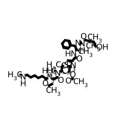 CCC[C@H](NC(=O)CCCCCNC)C(=O)N(C)[C@H](C[C@@H](OC(C)=O)c1nc(C(=O)N[C@H](C)C(=NNC(=O)C(C)(C)CCO)C2=CCCC=C2)cs1)C(C)C